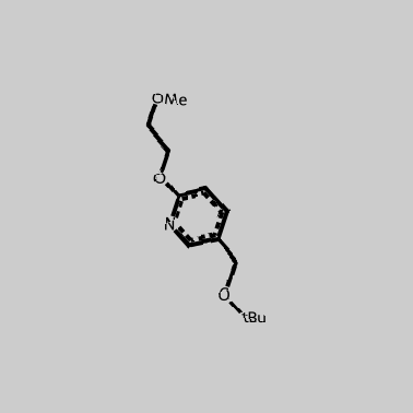 COCCOc1ccc(COC(C)(C)C)cn1